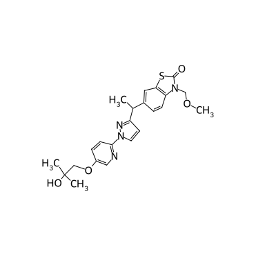 COCn1c(=O)sc2cc(C(C)c3ccn(-c4ccc(OCC(C)(C)O)cn4)n3)ccc21